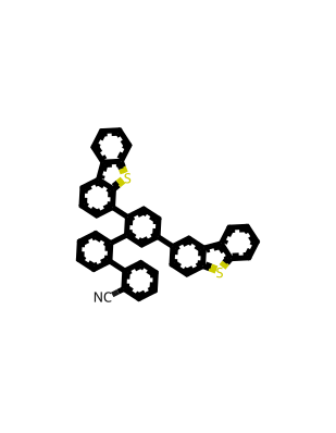 N#Cc1ccccc1-c1ccccc1-c1cc(-c2ccc3sc4ccccc4c3c2)ccc1-c1cccc2c1sc1ccccc12